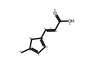 CC1=CC=C(/C=C/C(=O)O)C1